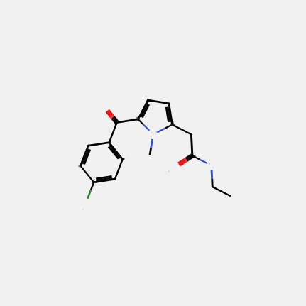 CCNC(=O)Cc1ccc(C(=O)c2ccc(Cl)cc2)n1C